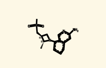 C[C@@H]1[C@@H](CS(C)(=O)=O)CN1c1cccc2cc(N)ncc12